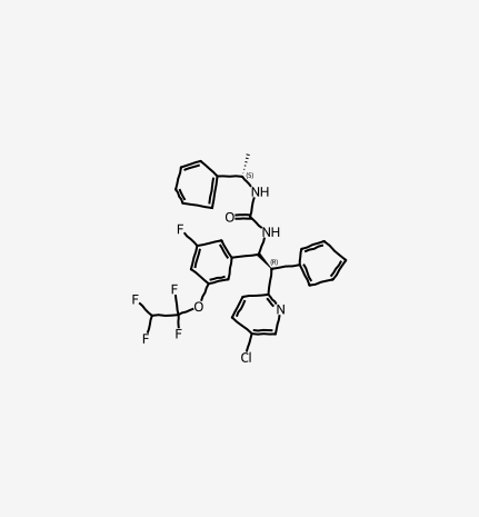 C[C@H](NC(=O)NC(c1cc(F)cc(OC(F)(F)C(F)F)c1)[C@@H](c1ccccc1)c1ccc(Cl)cn1)c1ccccc1